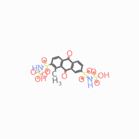 Cc1c(S(=O)(=O)NS(=O)(=O)O)ccc2c1C(=O)c1cc(S(=O)(=O)NS(=O)(=O)O)ccc1C2=O